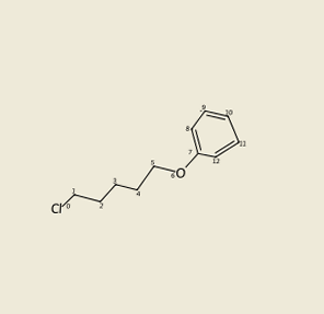 ClCCCCCOc1c[c]ccc1